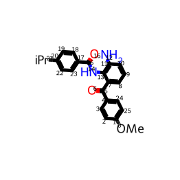 COc1ccc(C(=O)c2cccc(N)c2NC(=O)c2ccc(C(C)C)cc2)cc1